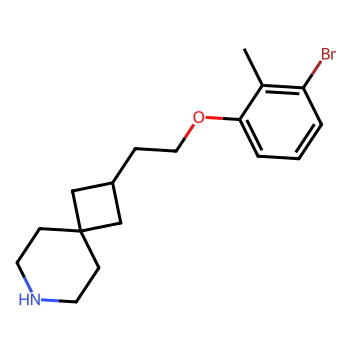 Cc1c(Br)cccc1OCCC1CC2(CCNCC2)C1